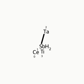 [Ce].[SbH2][Ta].[Ti]